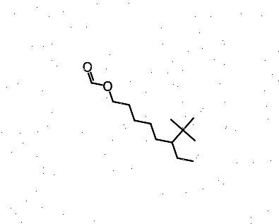 CCC(CCCCCOC=O)C(C)(C)C